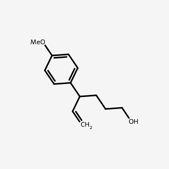 C=CC(CCCO)c1ccc(OC)cc1